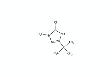 CN1C=C(C(C)(C)C)NC1Cl